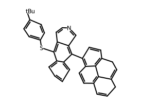 CC(C)(C)c1ccc(Sc2c3ccccc3c(-c3ccc4c5c6c(ccc35)C=CCC6=CC4)c3cnccc23)cc1